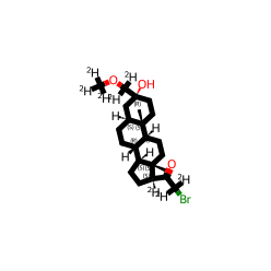 [2H]C([2H])([2H])OC([2H])([2H])[C@@]1(O)CC[C@@]2(C)[C@@H](CC[C@@H]3[C@@H]2CC[C@@]2(C)[C@H]3CC[C@]2([2H])C(=O)C([2H])([2H])Br)C1